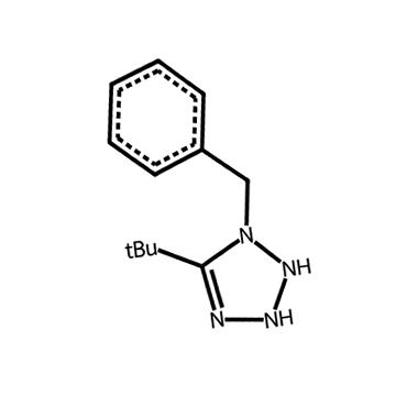 CC(C)(C)C1=NNNN1Cc1ccccc1